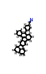 N#Cc1ccc(-c2c3ccccc3c3c4cc5c(cc4c4cccc2c43)c2cccc3cccc5c32)cc1